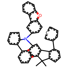 CC1(C)c2ccc(N(c3ccc4oc5ccccc5c4c3)c3ccccc3-c3ccccc3)cc2-c2c(-c3ccccc3)cccc21